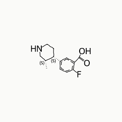 C[C@@H]1CNCC[C@@H]1c1ccc(F)c(C(=O)O)c1